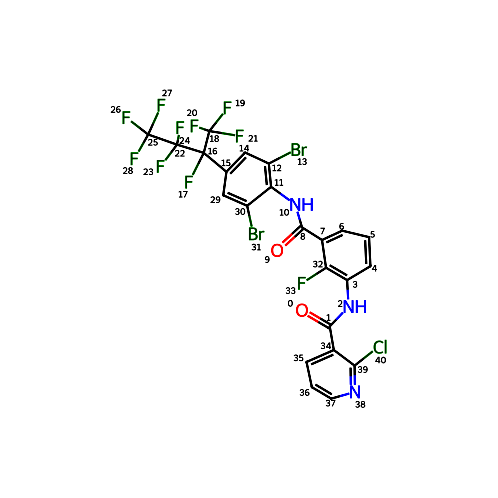 O=C(Nc1cccc(C(=O)Nc2c(Br)cc(C(F)(C(F)(F)F)C(F)(F)C(F)(F)F)cc2Br)c1F)c1cccnc1Cl